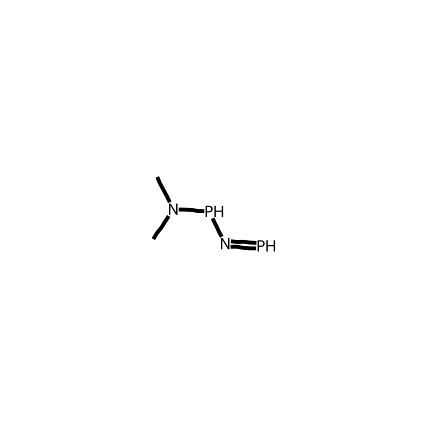 CN(C)PN=P